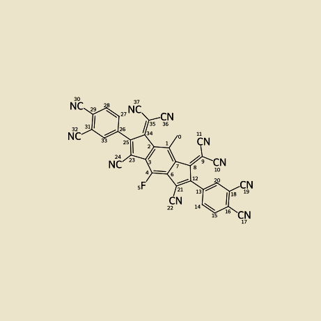 Cc1c2c(c(F)c3c1C(=C(C#N)C#N)C(c1ccc(C#N)c(C#N)c1)=C3C#N)C(C#N)=C(c1ccc(C#N)c(C#N)c1)C2=C(C#N)C#N